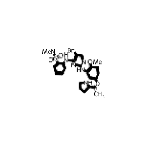 CNS(=O)(=O)c1ccccc1Nc1nc(Nc2cc(O[C@H](C)C3CCCN3)ccc2OC)ncc1Br